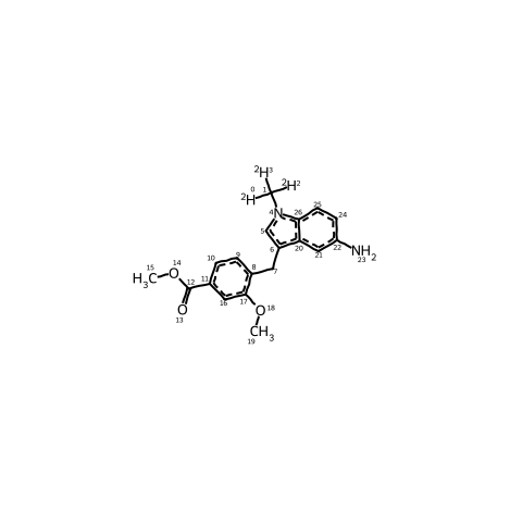 [2H]C([2H])([2H])n1cc(Cc2ccc(C(=O)OC)cc2OC)c2cc(N)ccc21